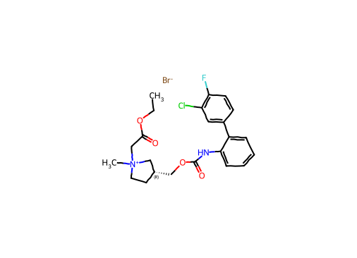 CCOC(=O)C[N+]1(C)CC[C@@H](COC(=O)Nc2ccccc2-c2ccc(F)c(Cl)c2)C1.[Br-]